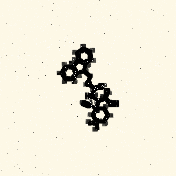 C#C[C@@]1([C@@H](NC(=O)OCC2c3ccccc3-c3ccccc32)C(=O)O)CCC[N+](C)(C)C1